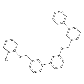 CCc1ccccc1OCc1cccc(-c2cccc(OCc3cccc(-c4ccccc4)c3)c2)c1